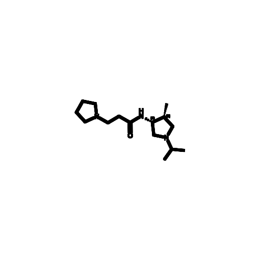 CC(C)N1C[C@@H](C)[C@@H](NC(=O)CCN2CCCC2)C1